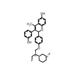 CC1=C(c2cccc(O)c2)C(c2ccc(OC[C@H](CF)N3CCC[C@@H](F)C3)cc2)Oc2ccc(O)cc21